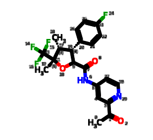 CC(=O)c1cc(NC(=O)C2O[C@](C)(C(F)(F)F)[C@H](C)[C@@H]2c2ccc(F)cc2)ccn1